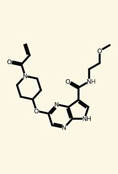 C=CC(=O)N1CCC(Oc2cnc3[nH]cc(C(=O)NCCOC)c3n2)CC1